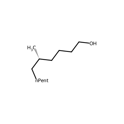 CCCCCC[C@H](C)CCCCO